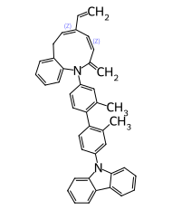 C=CC1=C/Cc2ccccc2N(c2ccc(-c3ccc(-n4c5ccccc5c5ccccc54)cc3C)c(C)c2)C(=C)/C=C\1